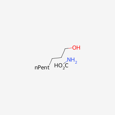 CCCCCCCCO.NC(=O)O